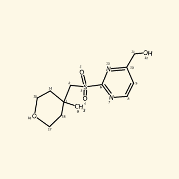 CC1(CS(=O)(=O)c2nccc(CO)n2)CCOCC1